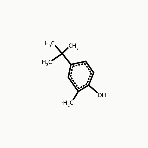 [CH2]c1cc(C(C)(C)C)ccc1O